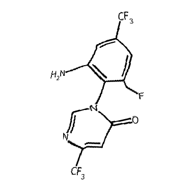 Nc1cc(C(F)(F)F)cc(F)c1-n1cnc(C(F)(F)F)cc1=O